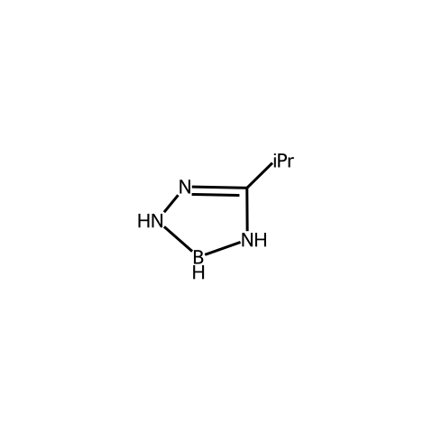 CC(C)C1=NNBN1